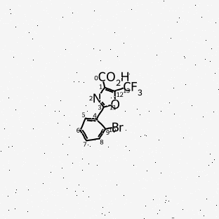 O=C(O)c1nc(-c2ccccc2Br)oc1C(F)(F)F